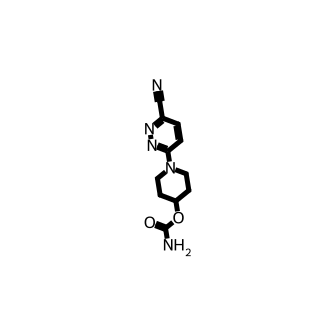 N#Cc1ccc(N2CCC(OC(N)=O)CC2)nn1